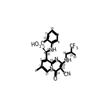 Cc1cc([C@@H](C)Nc2ccccc2C(=O)O)c2nc(NCC(C)C(F)(F)F)c(C#N)c(=O)n2c1